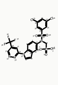 O=P(O)(O)CN(c1ccc2c(ccn2-c2cc(C(F)(F)F)cnn2)c1)S(=O)(=O)c1cc(Cl)cc(Cl)c1